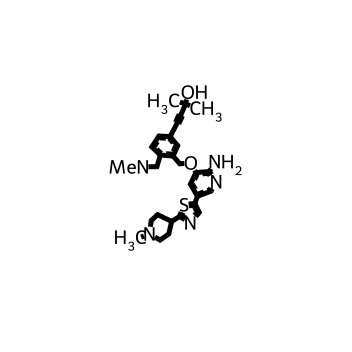 CNCc1ccc(C#CC(C)(C)O)cc1COc1cc(-c2cnc(C3CCN(C)CC3)s2)cnc1N